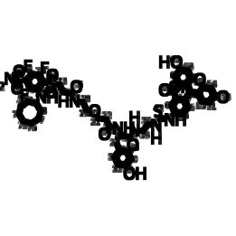 NS(=O)(=O)c1c(F)c(F)c(S(=O)(=O)CCC(=O)NCCOCCC(=O)N[C@@H](Cc2ccc(O)cc2)C(=O)NCCNC(=S)Nc2ccc(-c3c4ccc(=O)cc-4oc4cc(O)ccc34)c(C(=O)O)c2)c(NC2CCCCCCC2)c1F